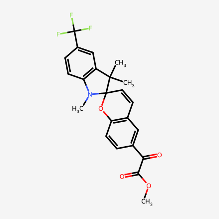 COC(=O)C(=O)c1ccc2c(c1)C=CC1(O2)N(C)c2ccc(C(F)(F)F)cc2C1(C)C